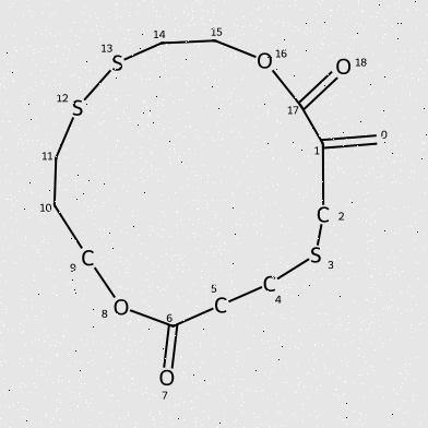 C=C1CSCCC(=O)OCCCSSCCOC1=O